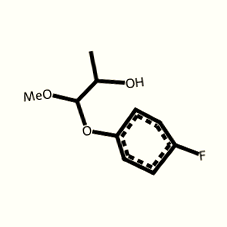 COC(Oc1ccc(F)cc1)C(C)O